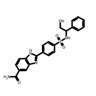 NC(=O)c1ccc2[nH]c(-c3ccc(S(=O)(=O)NC(CO)c4ccccc4)cc3)nc2c1